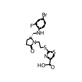 O=C(O)c1csc(SCCN2C(=O)CC[C@@H]2CNc2ccc(Br)cc2F)n1